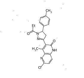 CCC(=O)N1N=C(c2c(C)c3nc(Cl)ccc3[nH]c2=O)CC1c1ccc(C)cc1